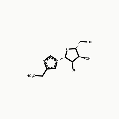 O=C(O)Cc1cn([C@@H]2O[C@H](CO)[C@@H](O)[C@H]2O)cn1